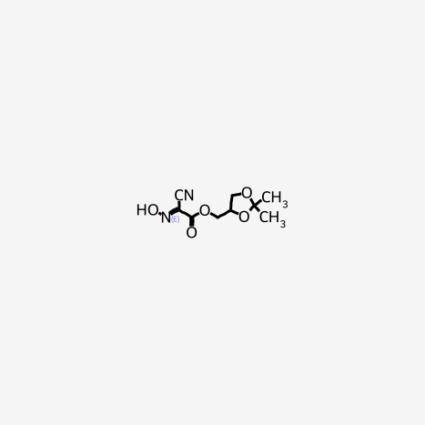 CC1(C)OCC(COC(=O)/C(C#N)=N/O)O1